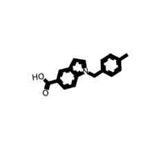 Cc1ccc(Cn2ccc3cc(C(=O)O)ccc32)cc1